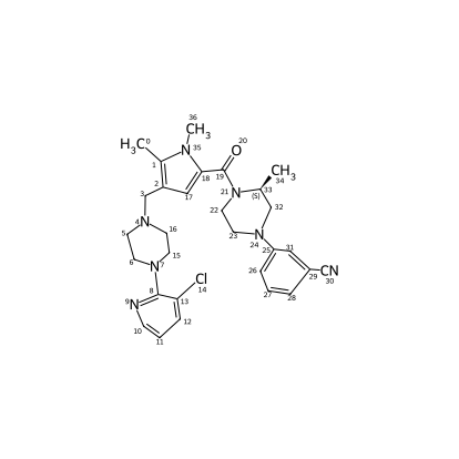 Cc1c(CN2CCN(c3ncccc3Cl)CC2)cc(C(=O)N2CCN(c3cccc(C#N)c3)C[C@@H]2C)n1C